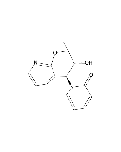 CC1(C)Oc2ncccc2[C@H](n2ccccc2=O)[C@H]1O